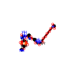 CC(C)[C@H](NC(=O)CCOCCOCCOCCOCCOCCN1C(=O)C=CC1=O)C(=O)N[C@@H](C)C(=O)Nc1ccc(COC(=O)N(C)Cc2ccccc2C(=O)Nc2nc3c(ncn3[C@@H]3O[C@@H]4CO[PH](=O)O[C@H]5C[C@H](Oc6ccncn6)C[C@@H]5CO[PH](=O)O[C@@H]3C4)c(=O)[nH]2)cc1